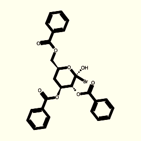 O=C(OC[C@@H]1C[C@H](OC(=O)c2ccccc2)[C@@H](OC(=O)c2ccccc2)[C@](O)(Br)O1)c1ccccc1